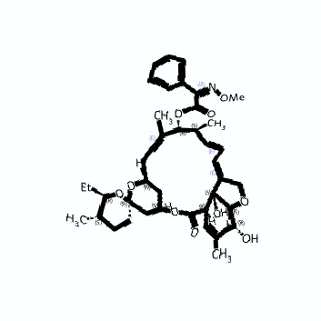 CC[C@H]1O[C@]2(CC[C@@H]1C)C[C@@H]1C[C@@H](C/C=C(\C)[C@H](OC(=O)/C(=N\OC)c3ccccc3)[C@@H](C)/C=C/C=C3\CO[C@@H]4[C@H](O)C(C)=C[C@@H](C(=O)O1)[C@]34O)O2